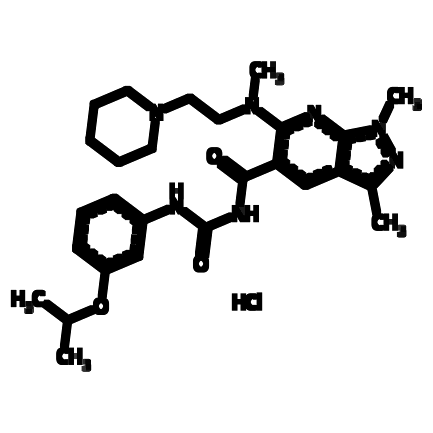 Cc1nn(C)c2nc(N(C)CCN3CCCCC3)c(C(=O)NC(=O)Nc3cccc(OC(C)C)c3)cc12.Cl